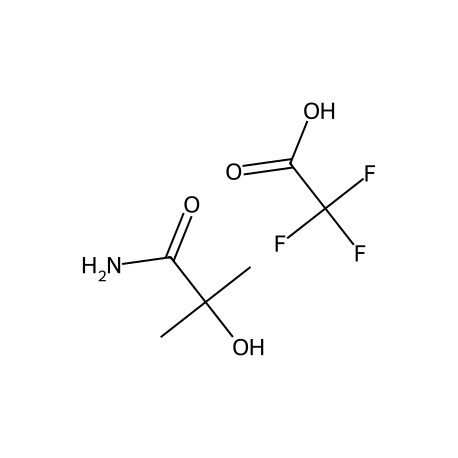 CC(C)(O)C(N)=O.O=C(O)C(F)(F)F